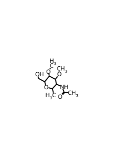 COC1C(NC(C)=O)C(C)OC(CO)[C@H]1OC